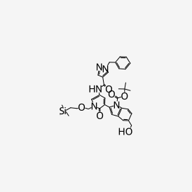 CC(C)(C)OC(=O)n1c(-c2cc(NC(=O)c3cnn(Cc4ccccc4)c3)cn(COCC[Si](C)(C)C)c2=O)cc2cc(CO)ccc21